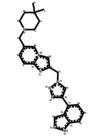 CC1(C)CCN(Cc2ccc3nc(Cn4cc(-c5cccc6[nH]ncc56)nn4)cn3c2)CC1